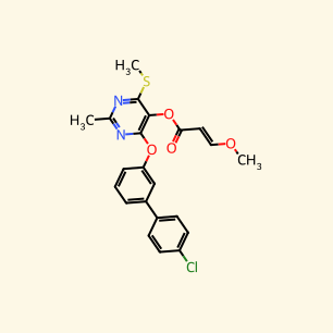 COC=CC(=O)Oc1c(Oc2cccc(-c3ccc(Cl)cc3)c2)nc(C)nc1SC